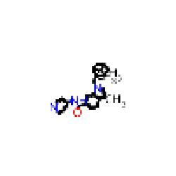 Cc1cn(CC2CCC3CC2C3(C)C)c2cc(C(=O)Nc3ccncc3)ccc12